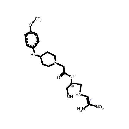 N/C(=C\NC[C@@H](CO)NC(=O)CN1CCC(Nc2ccc(OC(F)(F)F)cc2)CC1)[N+](=O)[O-]